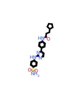 NS(=O)(=O)c1ccc(Nc2nccc(-c3ccc(NC(=O)CCC4CCCC4)cc3)n2)cc1